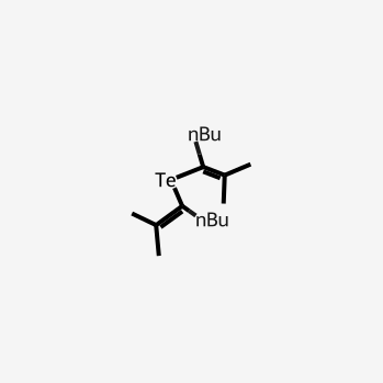 CCCCC([Te]C(CCCC)=C(C)C)=C(C)C